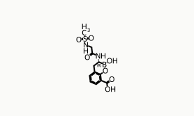 CS(=O)(=O)NCC(=O)N[C@H]1Cc2cccc(C(=O)O)c2OB1O